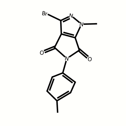 Cc1ccc(N2C(=O)c3c(Br)nn(C)c3C2=O)cc1